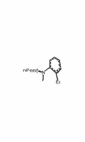 CCCCCN(C)c1ccccc1CC